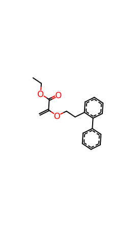 C=C(OCCc1ccccc1-c1ccccc1)C(=O)OCC